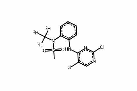 [2H]C([2H])([2H])N(c1ccccc1Nc1nc(Cl)ncc1Cl)S(C)(=O)=O